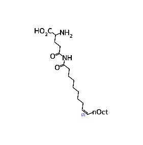 CCCCCCCC/C=C\CCCCCCCC(=O)NC(=O)CCC(N)C(=O)O